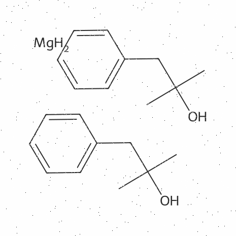 CC(C)(O)Cc1ccccc1.CC(C)(O)Cc1ccccc1.[MgH2]